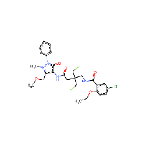 CCOc1ccc(Cl)cc1C(=O)NCC(CF)(CF)CC(=O)Nc1c(COC)n(C)n(-c2ccccc2)c1=O